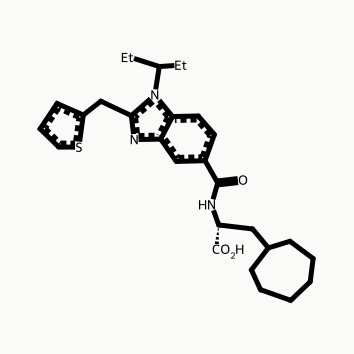 CCC(CC)n1c(Cc2cccs2)nc2cc(C(=O)N[C@H](CC3CCCCCC3)C(=O)O)ccc21